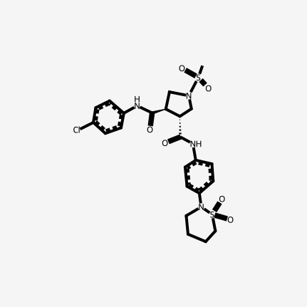 CS(=O)(=O)N1C[C@H](C(=O)Nc2ccc(Cl)cc2)[C@@H](C(=O)Nc2ccc(N3CCCCS3(=O)=O)cc2)C1